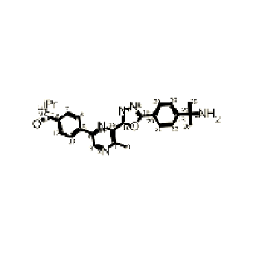 Cc1ncc(-c2ccc([S+]([O-])C(C)C)cc2)nc1-c1nnc(-c2ccc(C(C)(C)N)cc2)o1